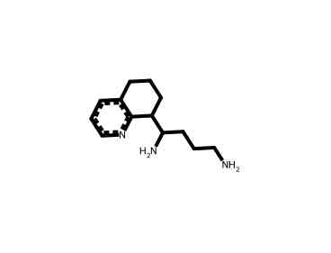 NCCCC(N)C1CCCc2cccnc21